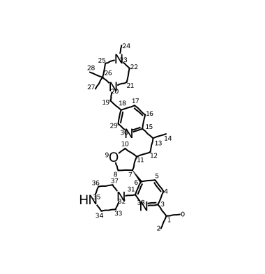 CC(C)c1ccc([C@H]2COCC2CC(C)c2ccc(CN3CCN(C)CC3(C)C)cn2)c(N2CCNCC2)n1